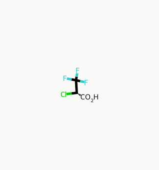 O=C(O)[C@H](Cl)C(F)(F)F